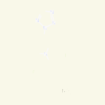 O=[N+]([O-])c1cc(F)c(N2CCC(n3ncnn3)C2)c(F)c1